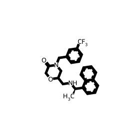 C[C@@H](NCC1CN(Cc2cccc(C(F)(F)F)c2)C(=O)CO1)c1cccc2ccccc12